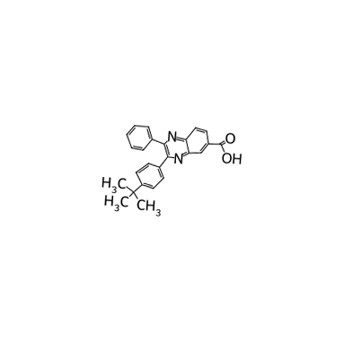 CC(C)(C)c1ccc(-c2nc3cc(C(=O)O)ccc3nc2-c2ccccc2)cc1